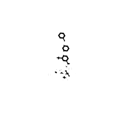 CC(C)(C)OC(=O)N1C(C)(C)OCC1(C)C(=O)NNC(=O)c1ccc(Sc2cccc(OCc3ccccc3)c2)c(C(F)(F)F)c1